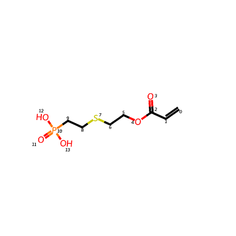 C=CC(=O)OCCSCCP(=O)(O)O